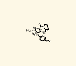 Cl.Cl.N#Cc1ccc(N[C@@H]2CN[C@H](C(=O)N3CCCC3C#N)C2)nc1